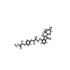 COCC(=O)NCc1ccc(CNC(=O)COc2cccc3c2C(=O)N(C2CCC(=O)NC2=O)C3=O)cc1